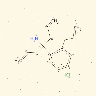 C=CCc1ccccc1C(N)(CC=C)CC=C.Cl